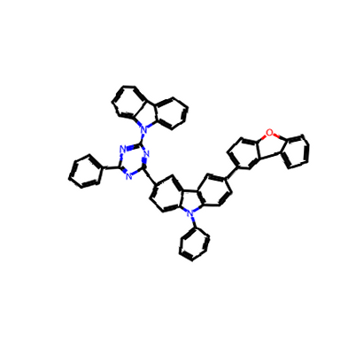 c1ccc(-c2nc(-c3ccc4c(c3)c3cc(-c5ccc6oc7ccccc7c6c5)ccc3n4-c3ccccc3)nc(-n3c4ccccc4c4ccccc43)n2)cc1